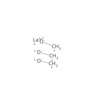 C[O-].C[O-].C[O-].[La+3]